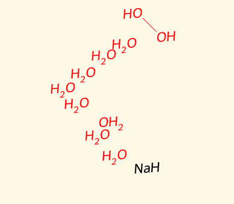 O.O.O.O.O.O.O.O.OO.[NaH]